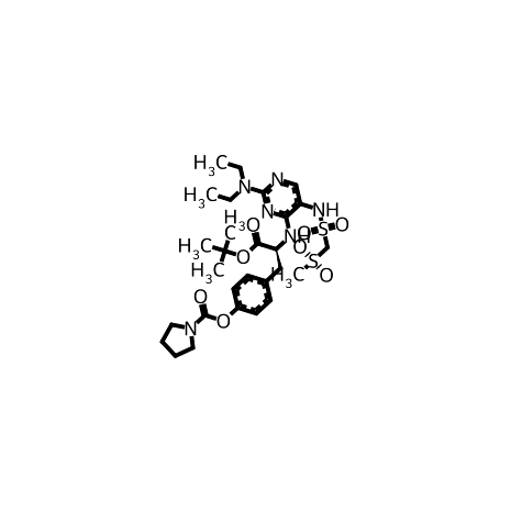 CCN(CC)c1ncc(NS(=O)(=O)CS(C)(=O)=O)c(N[C@@H](Cc2ccc(OC(=O)N3CCCC3)cc2)C(=O)OC(C)(C)C)n1